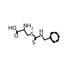 NC(CSC(=S)NCc1ccccc1)C(=O)O